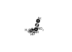 CC(=O)c1ccc(N2CCN(c3cc4c(=O)n(NS(C)(=O)=O)c(=O)[nH]c4cc3[N+](=O)[O-])CC2)cc1